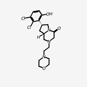 O=C1CN(CCN2CCOCC2)C[C@@H]2C[C@H](c3c(O)ccc(Cl)c3Cl)CN12